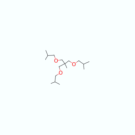 CC(C)COCC(C)(COCC(C)C)COCC(C)C